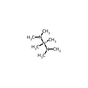 CN(C)[N+](C)(C)N(C)C